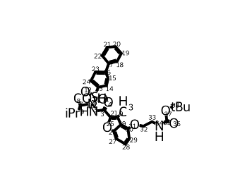 Cc1c(C(=O)NN(C(C(=O)O)C(C)C)S(=O)(=O)c2ccc(-c3ccccc3)cc2)oc2cccc(OCCNC(=O)OC(C)(C)C)c12